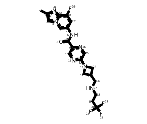 Cc1cn2cc(NC(=O)c3cnc(N4CC(CNCCC(F)(F)F)C4)cn3)cc(F)c2n1